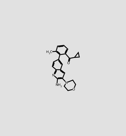 Cc1cccc(C(=O)C2CC2)c1-c1ccc2nc(N)c(N3CCOCC3)cc2c1